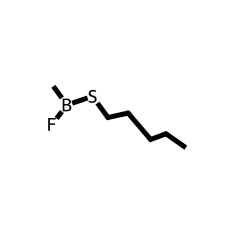 CCCCCSB(C)F